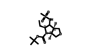 CC[C@H]1C(NS(C)(=O)=O)[C@H]2COC[C@H]2N1C(=O)OC(C)(C)C